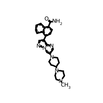 CN1CCN(C2CCN(c3cnc4c(-c5ccc(C(N)=O)c6ccccc56)cnn4c3)CC2)CC1